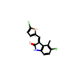 Cc1c(Br)ccc2c1C(=Cc1ccc(Cl)s1)C(=O)N2